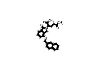 CC(=O)CCC(C(C)=O)N1Cc2c(OCc3ccc4ccccc4c3)cccc2C1=O